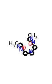 Cc1ccc2oc(-c3cccc(-c4cccc(-c5cccc(-c6nc7nc(C)ccc7o6)c5)n4)c3)nc2n1